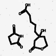 O=C(O)CCCCC1(O)CCOC(=O)C1.O=C1CCC(=O)N1